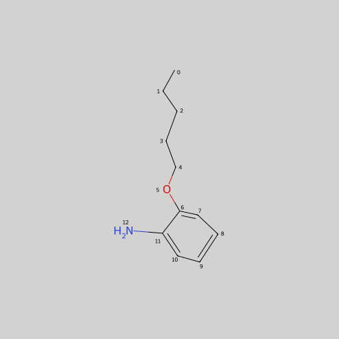 CCCCCOc1ccccc1N